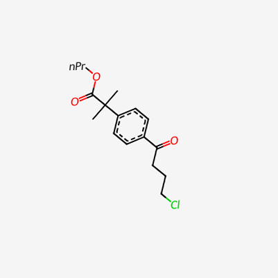 CCCOC(=O)C(C)(C)c1ccc(C(=O)CCCCl)cc1